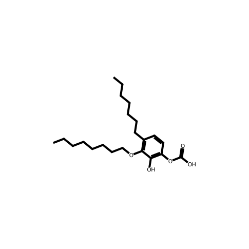 CCCCCCCCOc1c(CCCCCCC)ccc(OC(=O)O)c1O